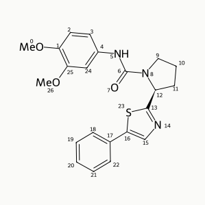 COc1ccc(NC(=O)N2CCC[C@H]2c2ncc(-c3ccccc3)s2)cc1OC